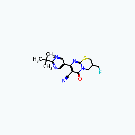 CC(C)(C)c1ncc(-c2nc3n(c(=O)c2C#N)CC(CF)CS3)cn1